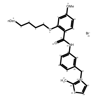 CCCCCCCCCCCCCCOc1cc(OC)ccc1C(=O)Nc1cccc(C[n+]2ccsc2C)c1.[Br-]